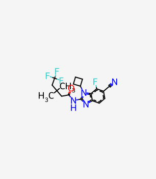 CC(C)(CC(=O)Nc1nc2ccc(C#N)c(F)c2n1C1CCC1)CC(F)(F)F